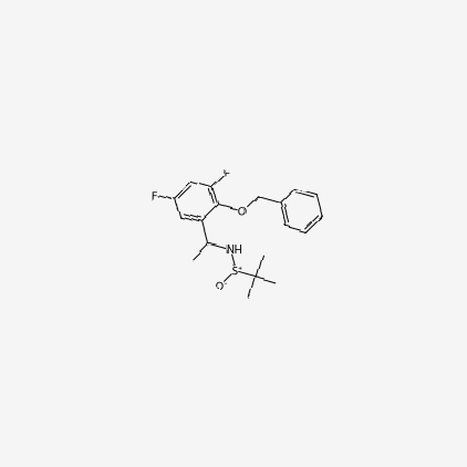 CC(N[S+]([O-])C(C)(C)C)c1cc(F)cc(F)c1OCc1ccccc1